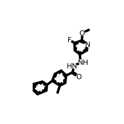 COc1ncc(NNC(=O)c2ccc(-c3ccccc3)c(C)c2)cc1F